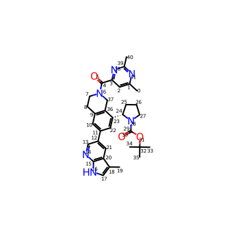 Cc1cc(C(=O)N2CCc3cc(-c4cnc5[nH]cc(C)c5c4)cc([C@@H]4CCCN4C(=O)OC(C)(C)C)c3C2)nc(C)n1